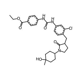 CCOC(=O)c1ccc(NC(=O)Nc2ccc(CC3CCN(C4CCC(C)(O)CC4)C3=O)c(Cl)c2)cc1